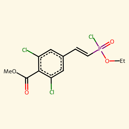 CCOP(=O)(Cl)/C=C/c1cc(Cl)c(C(=O)OC)c(Cl)c1